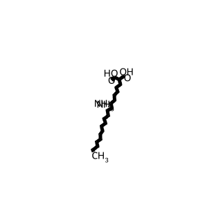 CCCCCCCCCCCCCCCCCCCC(C(=O)O)C(=O)O.N.N